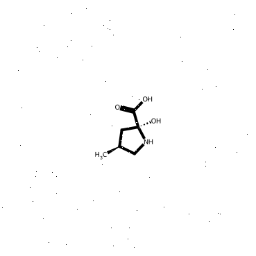 C[C@@H]1CN[C@](O)(C(=O)O)C1